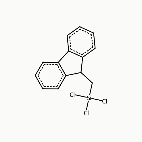 Cl[Si](Cl)(Cl)CC1c2ccccc2-c2ccccc21